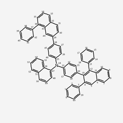 c1ccc(-c2cc3ccccc3c(-c3ccccc3)c2-c2ccc(N(c3ccc(-c4ccc5cccc(-c6ccccc6)c5c4)cc3)c3cccc4ccccc34)cc2)cc1